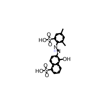 Cc1cc(C)c(/N=N/c2ccc3c(S(=O)(=O)O)cccc3c2O)c(S(=O)(=O)O)c1